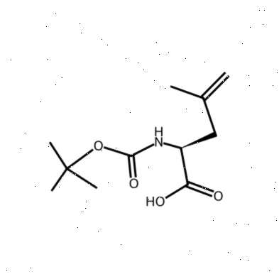 C=C(C)C[C@H](NC(=O)OC(C)(C)C)C(=O)O